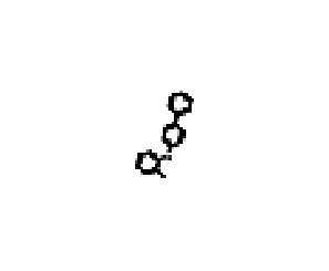 Cc1ccccc1Sc1ccc(-c2ccccc2)cc1